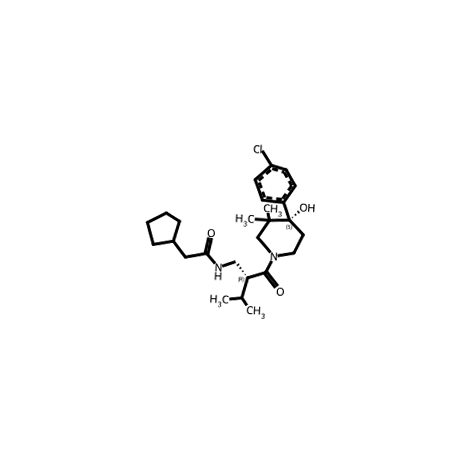 CC(C)[C@H](CNC(=O)CC1CCCC1)C(=O)N1CC[C@](O)(c2ccc(Cl)cc2)C(C)(C)C1